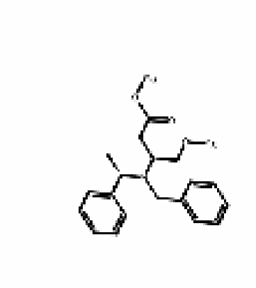 CCOC[C@H](CC(=O)OC(C)(C)C)N(Cc1ccccc1)[C@H](C)c1ccccc1